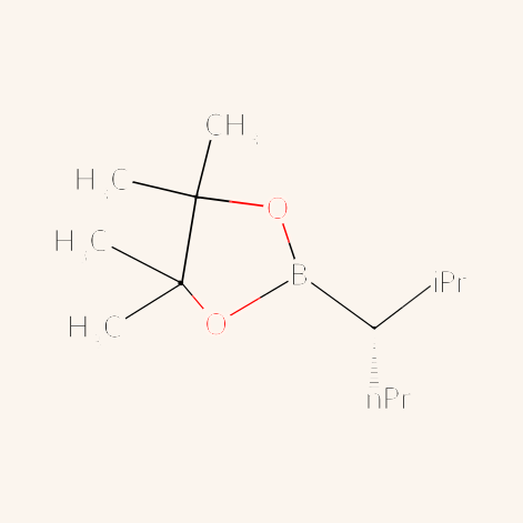 CCC[C@H](B1OC(C)(C)C(C)(C)O1)C(C)C